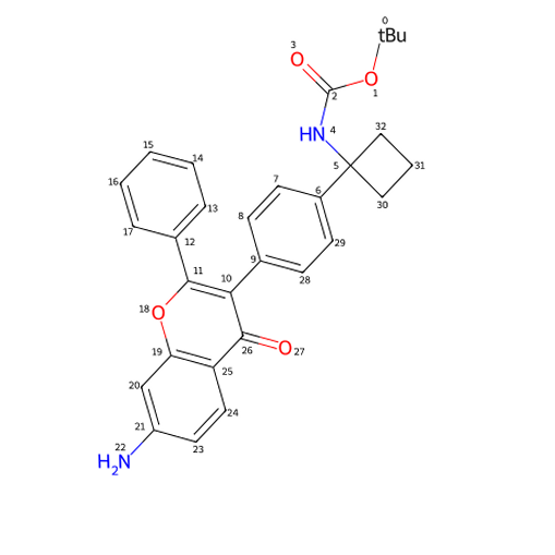 CC(C)(C)OC(=O)NC1(c2ccc(-c3c(-c4ccccc4)oc4cc(N)ccc4c3=O)cc2)CCC1